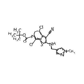 Cn1cc(CNc2sc3c(c2C#N)=C(Cl)CN(C(=O)OC(C)(C)C)C=3Cl)cn1